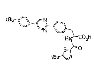 CC(C)(C)c1ccc(-c2cnc(-c3ccc(C[C@H](NC(=O)c4ccc(C(C)(C)C)s4)C(=O)O)cc3)nc2)cc1